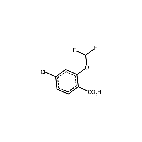 O=C(O)c1ccc(Cl)cc1OC(F)F